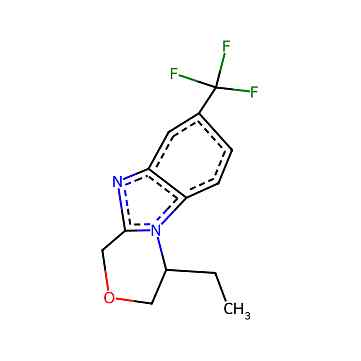 CCC1COCc2nc3cc(C(F)(F)F)ccc3n21